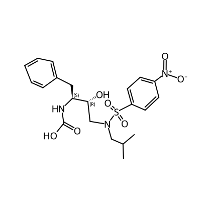 CC(C)CN(C[C@@H](O)[C@H](Cc1ccccc1)NC(=O)O)S(=O)(=O)c1ccc([N+](=O)[O-])cc1